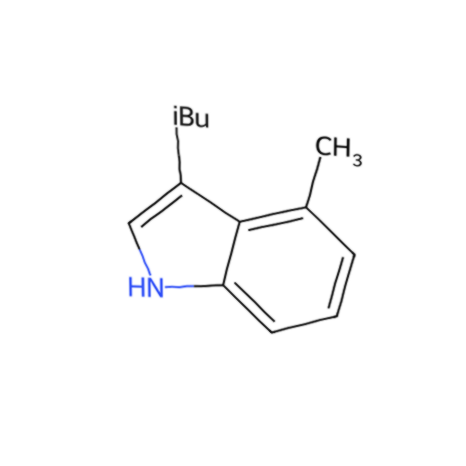 CCC(C)c1c[nH]c2cccc(C)c12